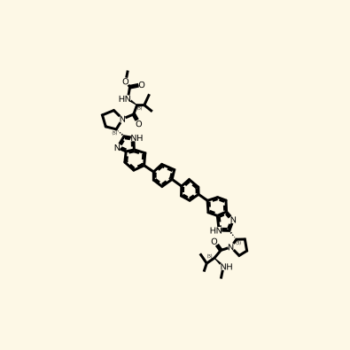 CN[C@H](C(=O)N1CCC[C@H]1c1nc2ccc(-c3ccc(-c4ccc(-c5ccc6nc([C@@H]7CCCN7C(=O)[C@@H](NC(=O)OC)C(C)C)[nH]c6c5)cc4)cc3)cc2[nH]1)C(C)C